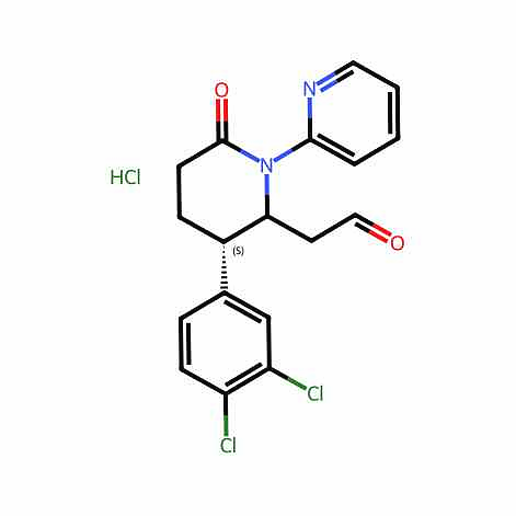 Cl.O=CCC1[C@H](c2ccc(Cl)c(Cl)c2)CCC(=O)N1c1ccccn1